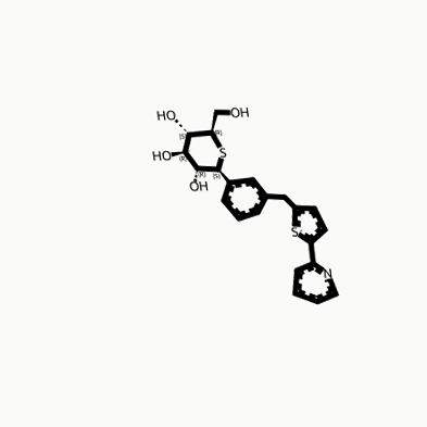 OC[C@H]1S[C@@H](c2cccc(Cc3ccc(-c4ccccn4)s3)c2)[C@H](O)[C@@H](O)[C@@H]1O